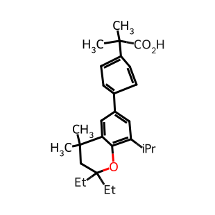 CCC1(CC)CC(C)(C)c2cc(-c3ccc(C(C)(C)C(=O)O)cc3)cc(C(C)C)c2O1